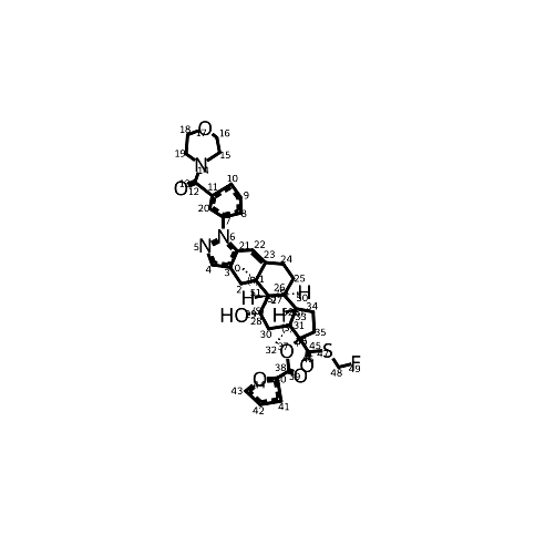 C[C@]12Cc3cnn(-c4cccc(C(=O)N5CCOCC5)c4)c3C=C1CC[C@@H]1[C@@H]2[C@@H](O)C[C@@]2(C)[C@H]1CC[C@]2(OC(=O)c1ccco1)C(=O)SCF